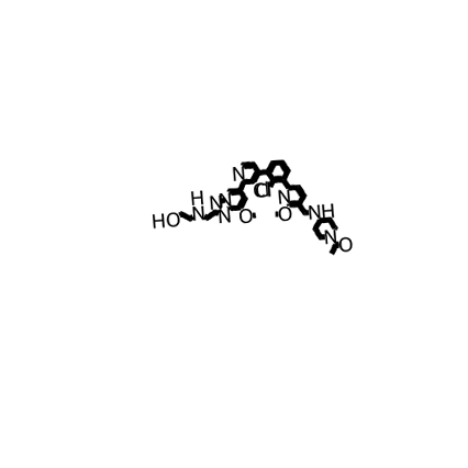 COc1nc(-c2cccc(-c3ccnc(-c4cc(OC)c5nc(CNCCO)nn5c4)c3Cl)c2Cl)ccc1CNC1CCN(C(C)=O)CC1